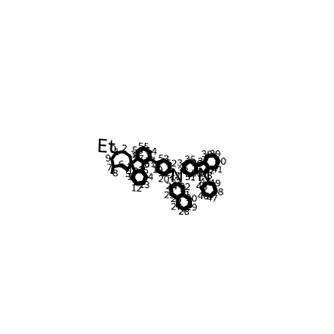 CCC1CCC2(/C=C/C(C)C1)c1ccccc1-c1c(-c3ccc(N(c4ccc5ccccc5c4)c4ccc5c6ccccc6n(-c6ccccc6)c5c4)cc3)cccc12